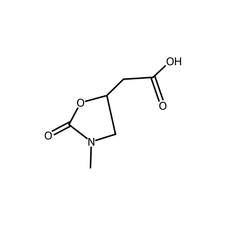 CN1CC(CC(=O)O)OC1=O